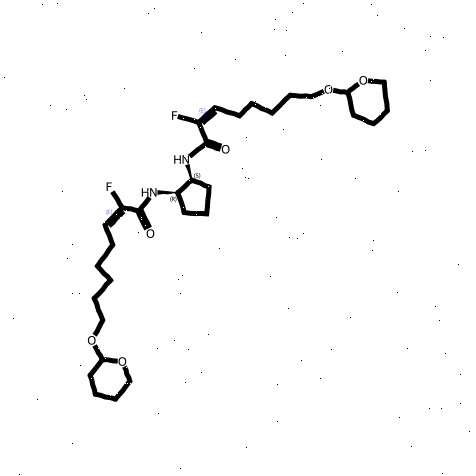 O=C(N[C@H]1CCC[C@H]1NC(=O)/C(F)=C\CCCCCOC1CCCCO1)/C(F)=C\CCCCCOC1CCCCO1